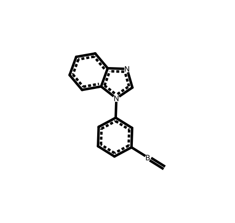 C=Bc1cccc(-n2cnc3ccccc32)c1